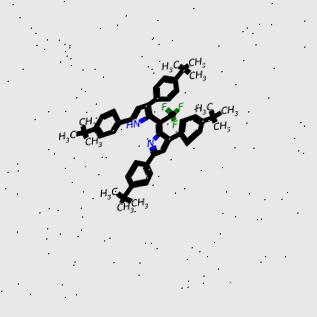 CC(C)(C)c1ccc(C2=CC(c3ccc(C(C)(C)C)cc3)=N/C2=C(\c2[nH]c(-c3ccc(C(C)(C)C)cc3)cc2-c2ccc(C(C)(C)C)cc2)C(F)(F)F)cc1